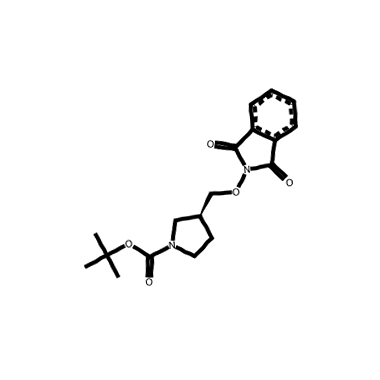 CC(C)(C)OC(=O)N1CC[C@H](CON2C(=O)c3ccccc3C2=O)C1